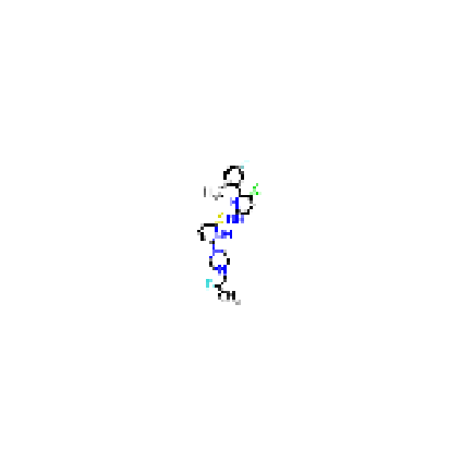 Cc1ccc(F)cc1-c1nc(NSC2=CC=CC(N3CCN(CC(C)F)CC3)N2)ccc1Cl